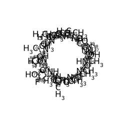 CC(C)C[C@@H]1NC(=O)[C@H](CC(C)C)N(C)C(=O)[C@H](C)N(C)C(=O)[C@@H](C(C)C)NC(=O)C[C@@H](C(=O)N2CCCCC2)NC(=O)[C@H]([C@@H](C)O)NC(=O)[C@H](C)N(C)C(=O)[C@H](C)N(C)C(=O)[C@H](CC(C)C)N(C)C(=O)[C@H](Cc2ccc(O)c(F)c2)NC(=O)[C@H](Cc2ccccc2)N(C)C1=O